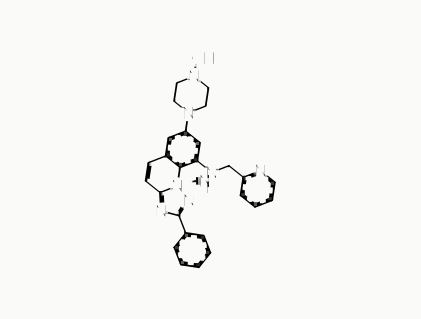 CN1CCN(c2cc3c(c(NCc4ccccn4)c2)[N+]2(C#N)N=C(c4ccccc4)N=C2C=C3)CC1